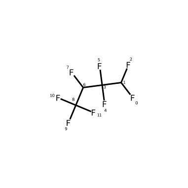 FC(F)C(F)(F)C(F)C(F)(F)F